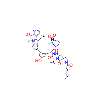 CCn1c(-c2cccnc2[C@H](C)OC)c2c3cc(ccc31)-c1cc(O)cc(c1)C[C@H](NC(=O)[C@H](C(C)C)N1CC[C@@]3(CCN(C(=O)/C=C/CN(C)C)C3)C1=O)C(=O)N1CCC[C@H](N1)C(=O)OCC(C)(C)C2